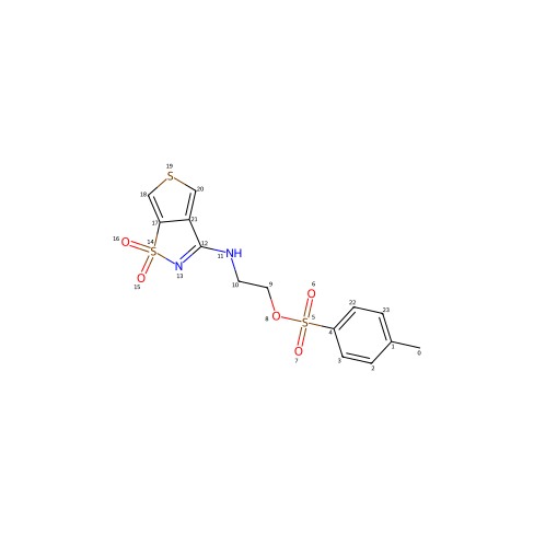 Cc1ccc(S(=O)(=O)OCCNC2=NS(=O)(=O)c3cscc32)cc1